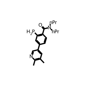 CCCN(CCC)C(=O)c1ccc(-c2cnc(C)c(C)c2)cc1P